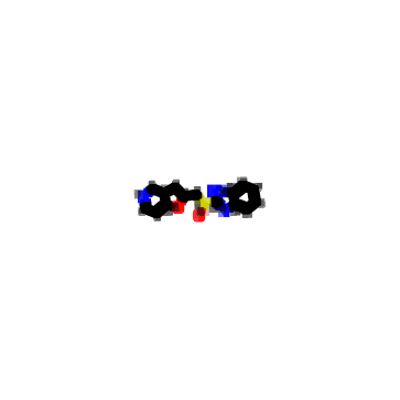 [O-][S+](CC1CC2CN=CC=C2O1)c1nc2ccccc2[nH]1